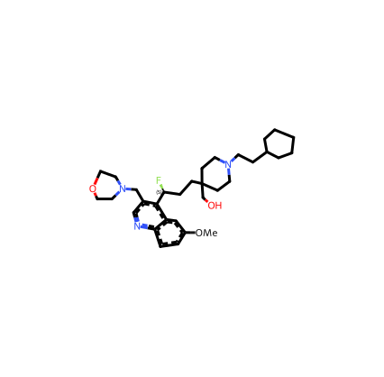 COc1ccc2ncc(CN3CCOCC3)c([C@@H](F)CCC3(CO)CCN(CCC4CCCCC4)CC3)c2c1